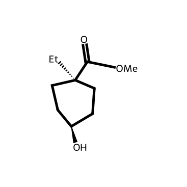 CC[C@]1(C(=O)OC)CC[C@@H](O)CC1